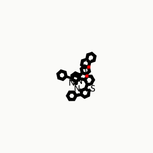 c1ccc(-c2cc(-c3ccccc3)nc(-n3c4ccccc4c4ccc5sc6ccc7c(c8ccccc8n7-c7ccc8ccccc8c7)c6c5c43)n2)cc1